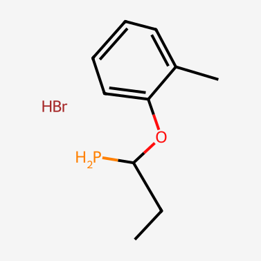 Br.CCC(P)Oc1ccccc1C